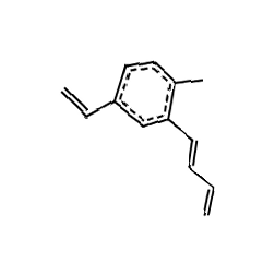 C=CC=Cc1cc(C=C)ccc1C